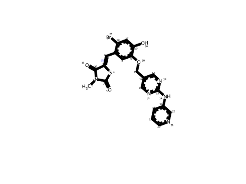 CN1C(=O)S/C(=C\c2cc(OCc3cnc(Nc4cccnc4)nc3)c(O)cc2Br)C1=O